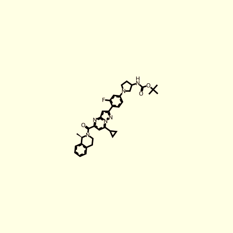 C[C@@H]1c2ccccc2CCN1C(=O)c1cc(C2CC2)n2nc(-c3ccc(N4CCC(NC(=O)OC(C)(C)C)C4)cc3F)cc2n1